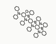 c1ccc(N(c2ccccc2)c2cc3c4c(c2)N(c2ccccc2)c2cc5c(cc2B4c2ccccc2O3)B2c3ccccc3N3c4ccccc4B4c6ccccc6N(c6ccccc6)c6cc(c2c3c64)N5c2ccccc2)cc1